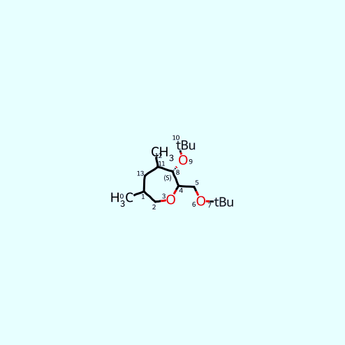 CC1COC(COC(C)(C)C)[C@@H](OC(C)(C)C)C(C)C1